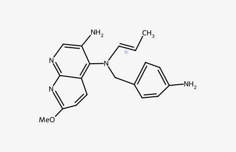 C/C=C/N(Cc1ccc(N)cc1)c1c(N)cnc2nc(OC)ccc12